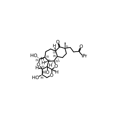 CC(C)C(=O)CC[C@]1(C)CC[C@]2(C)[C@H](CC[C@H]3[C@@H]4[C@@H]2O[C@@H]2OC[C@@H](O)[C@H](O[C@@H]3O)C24O)C1=O